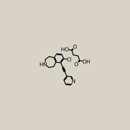 Clc1ccc2c(c1C#Cc1cccnc1)CCNCC2.O=C(O)CCC(=O)O